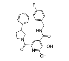 O=C(NCc1ccc(F)cc1)c1cc(C(=O)N2CCC(c3ccccn3)C2)nc(O)c1O